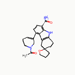 CC(=O)N1CCC=C(c2ccc(C(N)=O)c3[nH]c4c(c23)CC2(CCCO2)CC4)C1